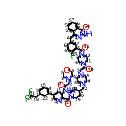 O=C(CN1CCOCC1)Nc1cc(-c2cccc(CC(F)F)c2)cnc1C(=O)N1CCC(CN2CCN(CC(=O)N3CCN(C(=O)c4cc(Cc5n[nH]c(=O)c6ccccc56)ccc4F)CC3)CC2)CC1